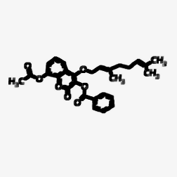 CC(=O)Oc1cccc2c(OC/C=C(\C)CCC=C(C)C)c(OC(=O)c3ccccc3)c(=O)oc12